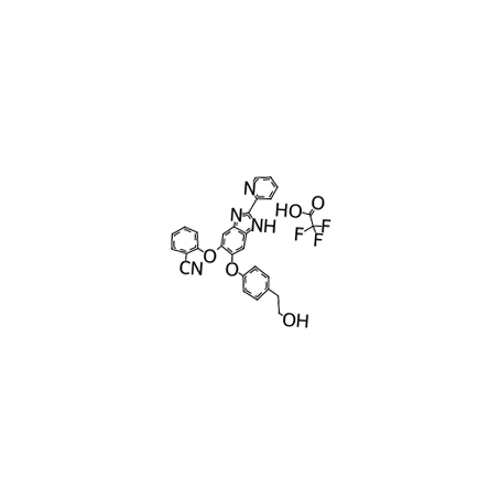 N#Cc1ccccc1Oc1cc2nc(-c3ccccn3)[nH]c2cc1Oc1ccc(CCO)cc1.O=C(O)C(F)(F)F